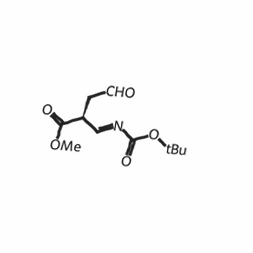 COC(=O)[C@H](C=NC(=O)OC(C)(C)C)CC=O